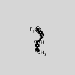 Cn1cc(-c2ccc(C(=O)NCCCCN3CCc4ccc(OS(=O)(=O)C(F)(F)F)cc4C3)cc2)cn1